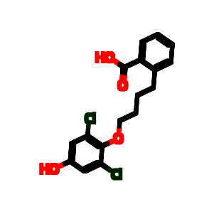 O=C(O)c1ccccc1CCCCOc1c(Cl)cc(O)cc1Cl